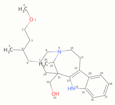 COCCC(C)C[C@@H]1CN2CCc3c([nH]c4ccccc34)C(CO)(C1)C2C